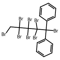 BrCC(Br)(Br)C(Br)(Br)C(Br)(Br)C(Br)(c1ccccc1)c1ccccc1